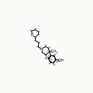 C[C@H]1CN(CCCC2CCCCO2)CC[C@]1(C)c1cccc(O)c1